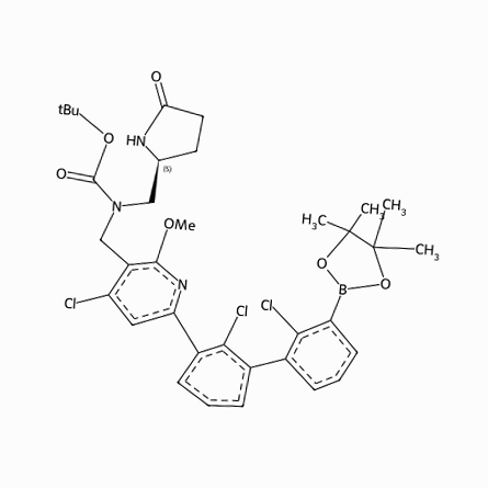 COc1nc(-c2cccc(-c3cccc(B4OC(C)(C)C(C)(C)O4)c3Cl)c2Cl)cc(Cl)c1CN(C[C@@H]1CCC(=O)N1)C(=O)OC(C)(C)C